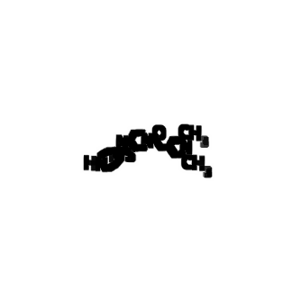 Cc1cc(CC(=O)N2CCc3nc(N4C5CCC4CNC5)sc3C2)cc(C)n1